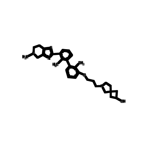 Cc1c(OCCCN2CCC3(CC(O)C3)C2)cccc1-c1cccc(-c2nc3c(s2)CCN(C)C3)c1C